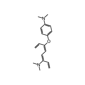 C=C/C(=C\C=C(/C=C)N(C)C)Oc1ccc(N(C)C)cc1